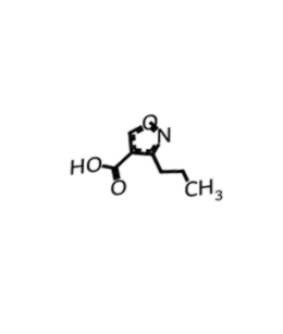 CCCc1nocc1C(=O)O